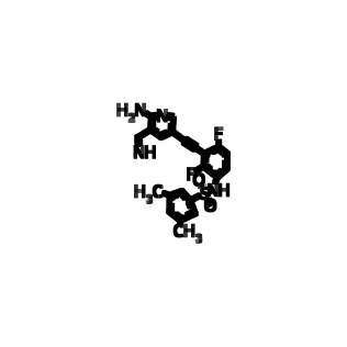 Cc1cc(C)cc(S(=O)(=O)Nc2ccc(F)c(C#Cc3cnc(N)c(C=N)c3)c2F)c1